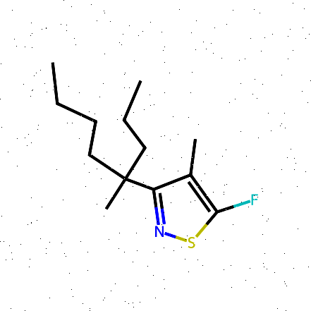 CCCCC(C)(CCC)c1nsc(F)c1C